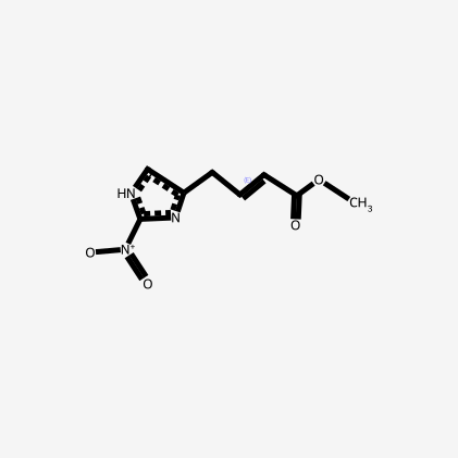 COC(=O)/C=C/Cc1c[nH]c([N+](=O)[O-])n1